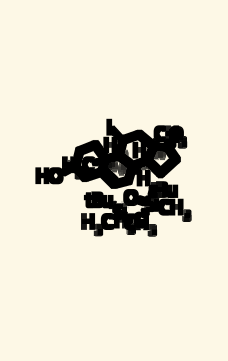 CC(C)(C)[Si](C)(C)O[Si](C)(C)C(C)(C)C.C[C@]12CC[C@H](O)CC1=CC[C@@H]1[C@@H]2[C@@H](I)C[C@]2(C)C(=O)CC[C@@H]12